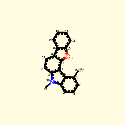 CC(C)c1cccc2c1c1c3oc4ccccc4c3ccc1n2C